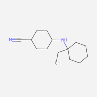 CCC1(NC2CCC(C#N)CC2)CCCCC1